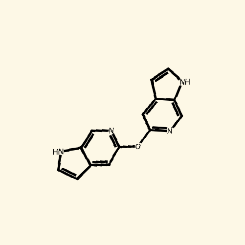 c1cc2cc(Oc3cc4cc[nH]c4cn3)ncc2[nH]1